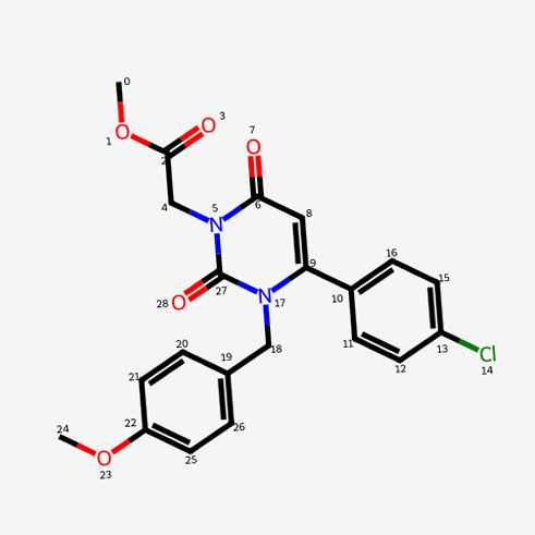 COC(=O)Cn1c(=O)cc(-c2ccc(Cl)cc2)n(Cc2ccc(OC)cc2)c1=O